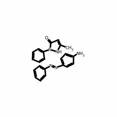 Cc1cc(=O)n(-c2ccccc2)[nH]1.Nc1ccc(N=Nc2ccccc2)cc1